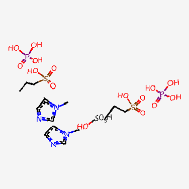 CCCS(=O)(=O)O.CCCS(=O)(=O)O.Cn1ccnc1.Cn1ccnc1.O=P(O)(O)O.O=P(O)(O)O.O=S(=O)(O)O